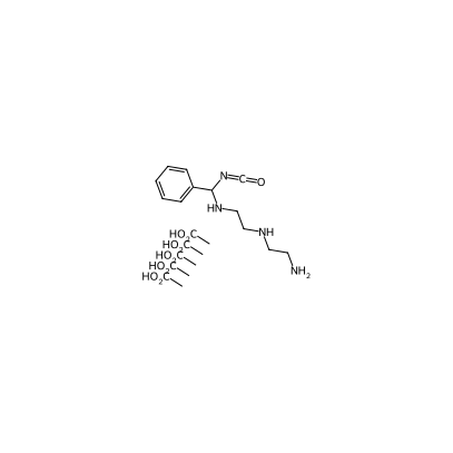 CC(=O)O.CC(=O)O.CC(=O)O.CC(=O)O.CC(=O)O.NCCNCCNC(N=C=O)c1ccccc1